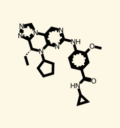 CC[C@@H]1c2nncn2-c2cnc(Nc3ccc(C(=O)NC4CC4)cc3OC)nc2N1C1CCCC1